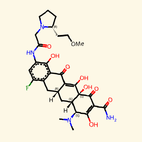 COCC[C@H]1CCCN1CC(=O)Nc1cc(F)c2c(c1O)C(=O)C1=C(O)[C@]3(O)C(=O)C(C(N)=O)=C(O)[C@@H](N(C)C)[C@@H]3C[C@@H]1C2